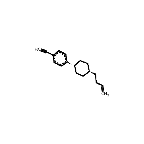 C#Cc1ccc([C@H]2CC[C@H](CCC=C)CC2)cc1